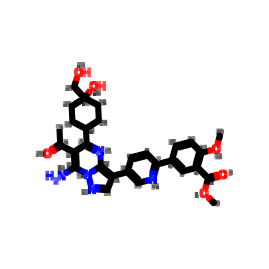 COC(=O)c1cc(-c2ccc(-c3cnn4c(N)c(C(C)=O)c(C5CCC(O)(CO)CC5)nc34)cn2)ccc1OC